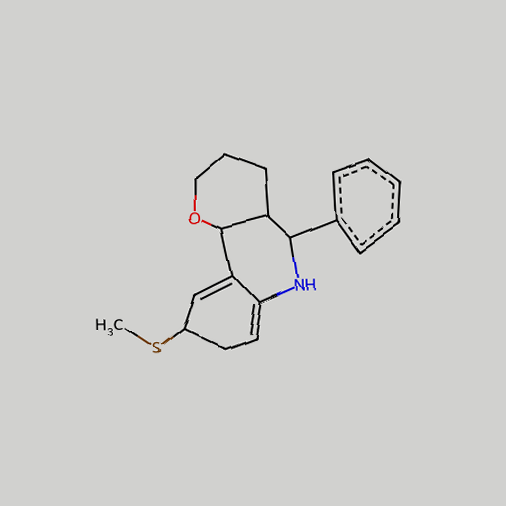 CSC1C=C2C(=CC1)NC(c1ccccc1)C1CCCOC21